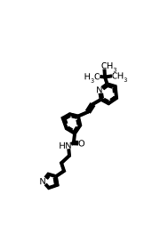 CC(C)(C)c1cccc(C#Cc2cccc(C(=O)NCCCC3=CCN=C3)c2)n1